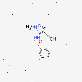 C#Cc1cnn(C)c1NOCc1ccccc1